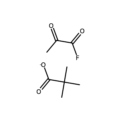 CC(=O)C(=O)F.CC(C)(C)C([O])=O